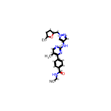 CCC1CCC(Cn2cc(Nc3ncc(C)c(-c4ccc(C(=O)NCC#N)cc4)n3)cn2)O1